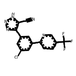 N#Cc1[nH]nnc1-c1cc(Cl)cc(-c2ccc(C(F)(F)F)cn2)c1